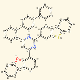 c1ccc(-c2ccc(-c3ccccc3-c3cc(-c4cccc5c4oc4ccccc45)nc(-c4ccc5c(c4)sc4ccccc45)n3)cc2)cc1